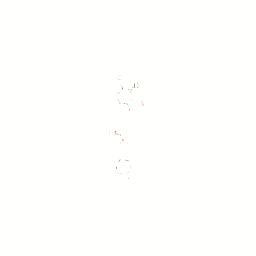 O=Cc1c(OCCC(=O)OCc2ccccc2)ccc(F)c1Br